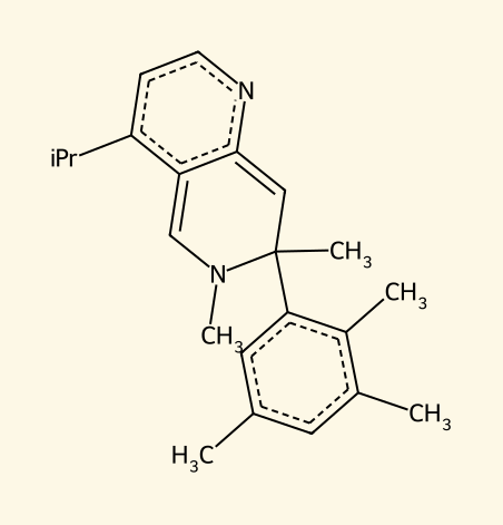 Cc1cc(C)c(C)c(C2(C)C=c3nccc(C(C)C)c3=CN2C)c1